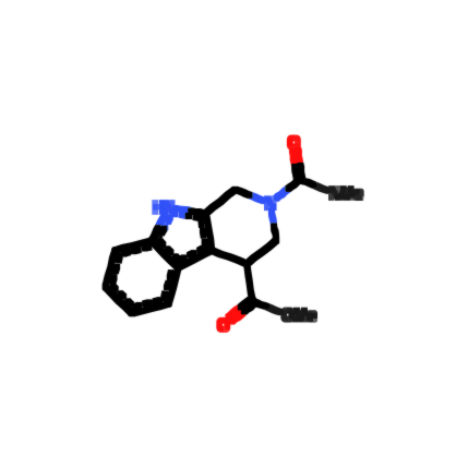 CNC(=O)N1Cc2[nH]c3ccccc3c2C(C(=O)OC)C1